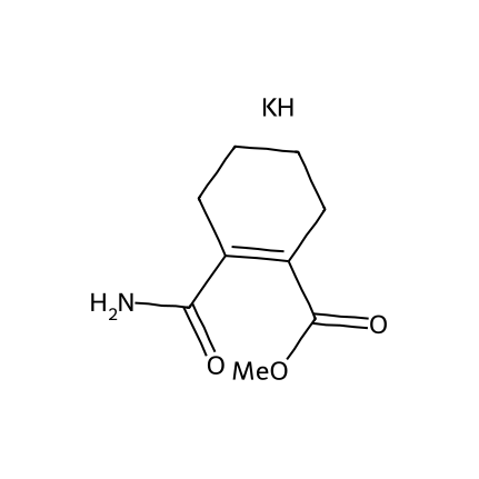 COC(=O)C1=C(C(N)=O)CCCC1.[KH]